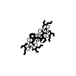 CCCCC(CC)CN1C(=O)C(=c2[nH]/c(=c3/[nH]c(=C4C(=O)N(CC(CC)CCCC)C(=O)N(CC(CC)CCCC)C4=O)c4ccccc34)c3ccccc23)C(=O)N(CC(CC)CCCC)C1=O